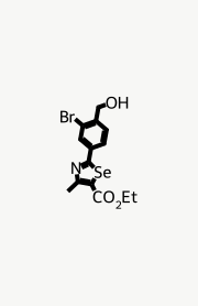 CCOC(=O)c1[se]c(-c2ccc(CO)c(Br)c2)nc1C